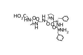 C[C@H](NC(=O)CNC(=O)[C@@H]1CCCN1C(=O)[C@H](Cc1ccccc1)NC(=O)[C@@H](N)Cc1ccccc1)C(=O)NCC(=O)O